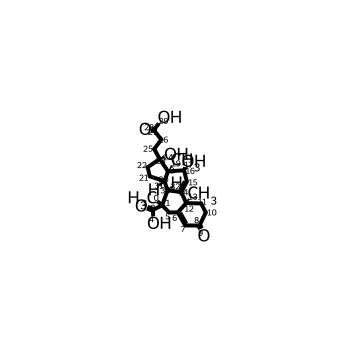 CC1(C(=O)O)CC2=CC(=O)CC[C@]2(C)C2=CC(O)[C@@]3(C)[C@@H](CC[C@]3(O)CCC(=O)O)[C@@H]21